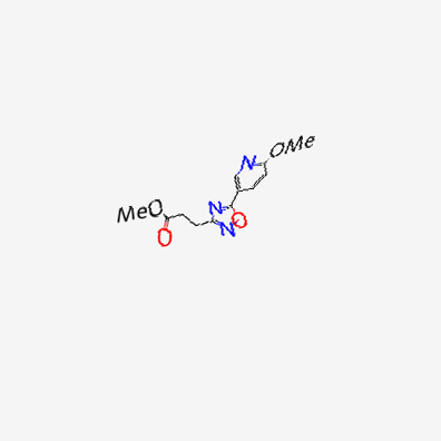 COC(=O)CCc1noc(-c2ccc(OC)nc2)n1